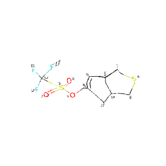 O=S(=O)(OC1=CC2CSCC2C1)C(F)(F)F